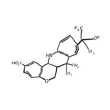 CC1(C)c2cc(C(O)(C(F)(F)F)C(F)(F)F)ccc2NC2c3cc(C(=O)O)ccc3OCC21